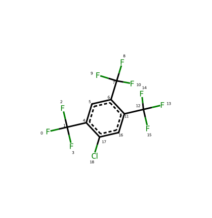 FC(F)(F)c1cc(C(F)(F)F)c(C(F)(F)F)cc1Cl